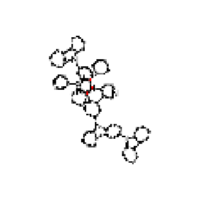 c1ccc(-c2nc(-c3ccccc3)nc(-c3ccc(-n4c5ccccc5c5cc(-n6c7ccccc7c7ccccc76)ccc54)cc3-c3cnccc3-n3c4ccccc4c4cc(-n5c6ccccc6c6ccccc65)ccc43)n2)cc1